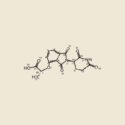 C[C@@H](Oc1cccc2c1C(=O)N([C@@H]1CCC(=O)NC1=O)C2=O)C(=O)O